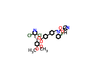 COc1ccc([C@H](Cc2c(Cl)cncc2Cl)OC(=O)c2ccc(-c3ccc(CN(C(=O)O[C@H]4CN5CCC4CC5)c4ccccc4F)cc3)cc2)cc1OC